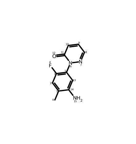 Cc1cc(F)c(-n2ncccc2=O)cc1N